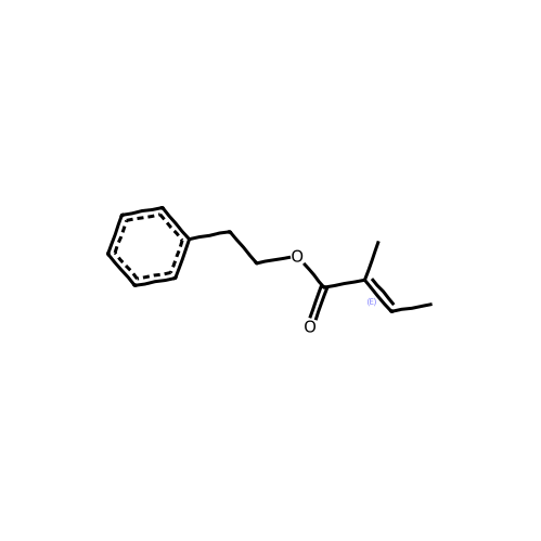 C/C=C(\C)C(=O)OCCc1ccccc1